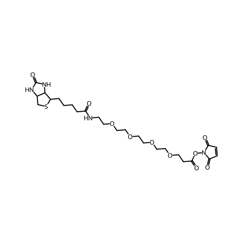 O=C(CCCCC1SCC2NC(=O)NC21)NCCOCCOCCOCCOCCC(=O)ON1C(=O)C=CC1=O